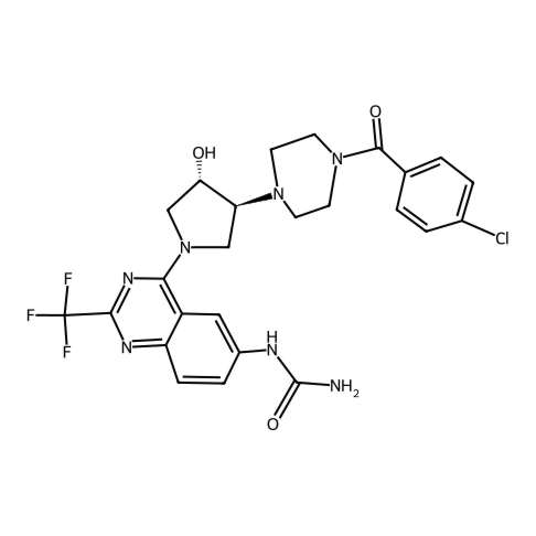 NC(=O)Nc1ccc2nc(C(F)(F)F)nc(N3C[C@H](O)[C@@H](N4CCN(C(=O)c5ccc(Cl)cc5)CC4)C3)c2c1